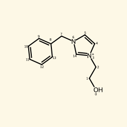 OCC[n+]1ccn(Cc2ccccc2)c1